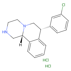 Cl.Cl.Clc1cccc([C@H]2CN3CCNC[C@H]3c3ccccc32)c1